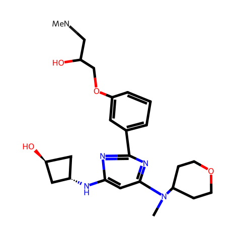 CNCC(O)COc1cccc(-c2nc(N[C@H]3C[C@H](O)C3)cc(N(C)C3CCOCC3)n2)c1